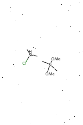 CO[Si](C)(C)OC.C[SiH](C)Cl